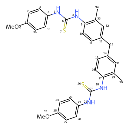 COc1ccc(NC(=S)Nc2ccc(Cc3ccc(NC(=S)Nc4ccc(OC)cc4)c(C)c3)cc2C)cc1